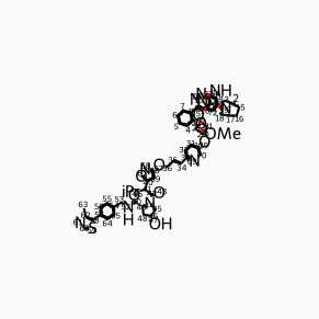 COCOc1ccccc1-c1cc(N2CC3CCC(C2)N3c2ccnc(OC3CC(Oc4ccc(C=CCOc5cc(C(C(=O)N6C[C@H](O)C[C@H]6C(=O)NCc6ccc(-c7scnc7C)cc6)C(C)C)on5)nc4)C3)c2)c(N)nn1